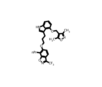 CCCc1c(OCCCc2c[nH]c3cccc(OCc4c(C)noc4C)c23)ccc2c(C(F)(F)F)noc12